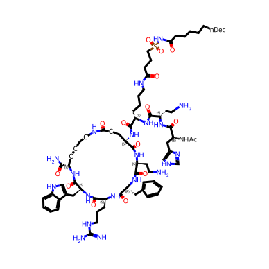 CCCCCCCCCCCCCCCC(=O)NS(=O)(=O)CCCC(=O)NCCCC[C@H](NC(=O)[C@H](CCN)NC(=O)[C@H](Cc1c[nH]cn1)NC(C)=O)C(=O)N[C@H]1CCC(=O)NCCCC[C@@H](C(N)=O)NC(=O)[C@H](Cc2c[nH]c3ccccc23)NC(=O)[C@H](CCCNC(=N)N)NC(=O)[C@@H](Cc2ccccc2)NC(=O)[C@H](CCN)NC1=O